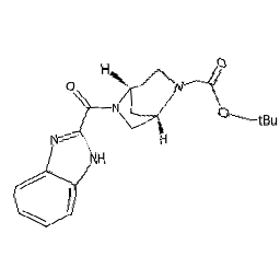 CC(C)(C)OC(=O)N1C[C@@H]2C[C@H]1CN2C(=O)c1nc2ccccc2[nH]1